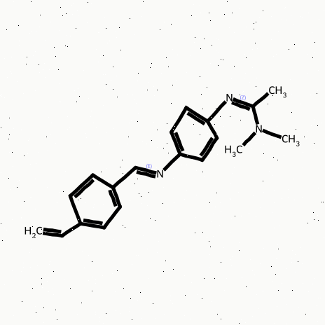 C=Cc1ccc(/C=N/c2ccc(/N=C(/C)N(C)C)cc2)cc1